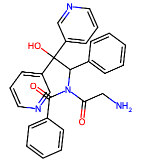 NCC(=O)N(C(=O)c1ccccc1)C(c1ccccc1)C(O)(c1cccnc1)c1cccnc1